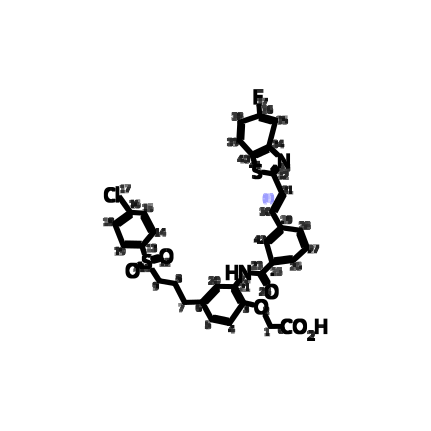 O=C(O)COc1ccc(CCCS(=O)(=O)c2ccc(Cl)cc2)cc1NC(=O)c1cccc(/C=C/c2nc3cc(F)ccc3s2)c1